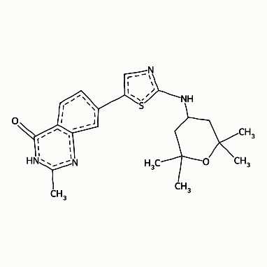 Cc1nc2cc(-c3cnc(NC4CC(C)(C)OC(C)(C)C4)s3)ccc2c(=O)[nH]1